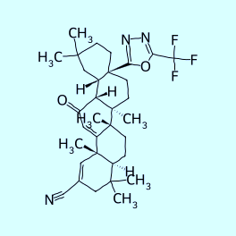 CC1(C)CC[C@]2(c3nnc(C(F)(F)F)o3)CC[C@]3(C)[C@H](C(=O)C=C4[C@@]5(C)C=C(C#N)CC(C)(C)[C@@H]5CC[C@]43C)[C@@H]2C1